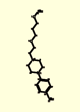 CC(C)(C)OCCCOCCN1CCN(c2ccc(C(C)(C)C)cc2)CC1